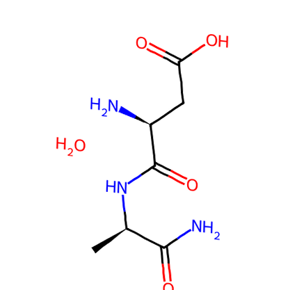 C[C@@H](NC(=O)[C@@H](N)CC(=O)O)C(N)=O.O